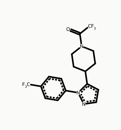 O=C(N1CCC(c2ccnn2-c2ccc(C(F)(F)F)cc2)CC1)C(F)(F)F